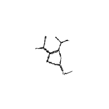 C/N=C1/CCC(C(C)C)=C(C(C)C)C1